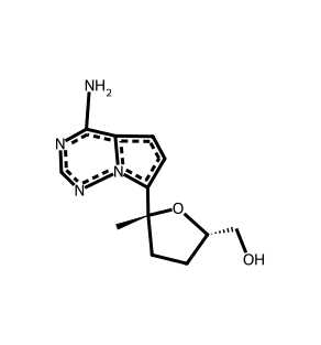 C[C@]1(c2ccc3c(N)ncnn23)CC[C@@H](CO)O1